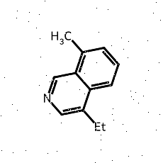 CCc1cncc2c(C)cccc12